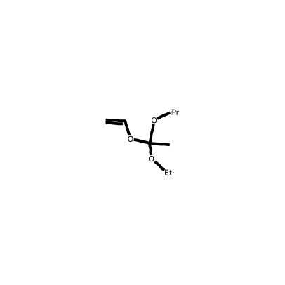 C=COC(C)(O[CH]C)OC(C)C